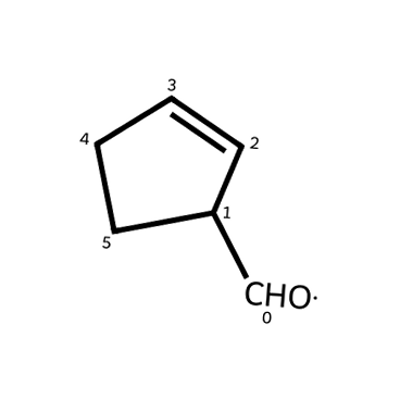 O=[C]C1C=CCC1